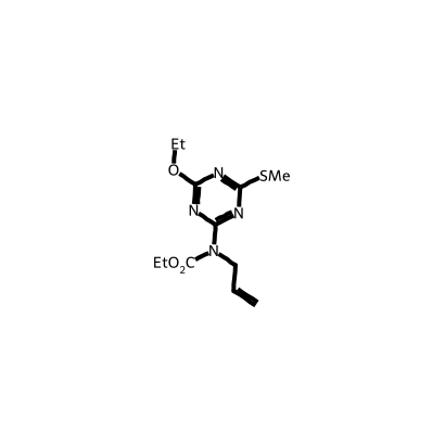 C=CCN(C(=O)OCC)c1nc(OCC)nc(SC)n1